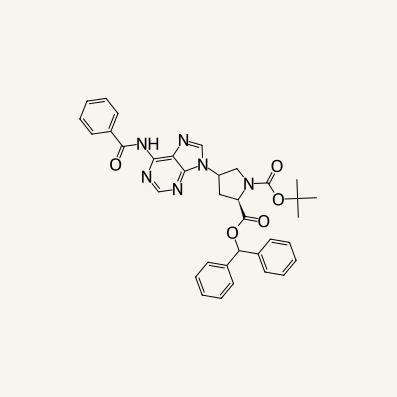 CC(C)(C)OC(=O)N1CC(n2cnc3c(NC(=O)c4ccccc4)ncnc32)C[C@@H]1C(=O)OC(c1ccccc1)c1ccccc1